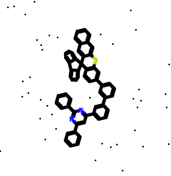 c1ccc(-c2cc(-c3cccc(-c4cccc(-c5ccc6c(c5)Sc5cc7ccccc7cc5C65c6ccccc6-c6ccccc65)c4)c3)nc(-c3ccccc3)n2)cc1